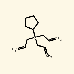 C=CC[Si](CC=C)(CC=C)C1CCCC1